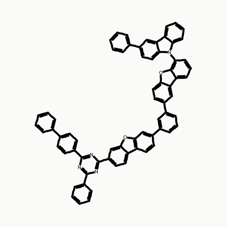 c1ccc(-c2ccc(-c3nc(-c4ccccc4)nc(-c4ccc5c(c4)oc4cc(-c6cccc(-c7ccc8oc9c(-n%10c%11ccccc%11c%11cc(-c%12ccccc%12)ccc%11%10)cccc9c8c7)c6)ccc45)n3)cc2)cc1